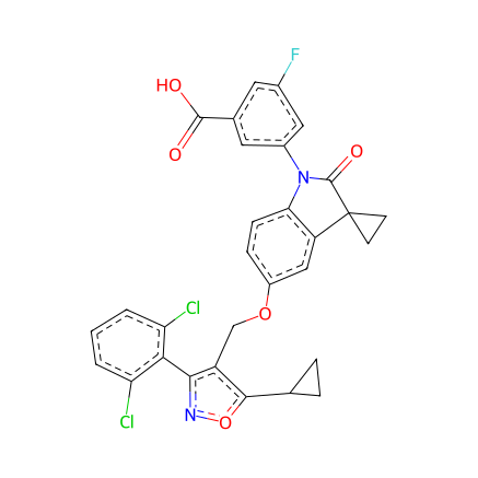 O=C(O)c1cc(F)cc(N2C(=O)C3(CC3)c3cc(OCc4c(-c5c(Cl)cccc5Cl)noc4C4CC4)ccc32)c1